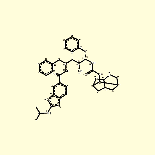 CC(C)Nc1nc2ccc(C(=O)NN(Cc3ccccc3)C[C@H](O)[C@H](Cc3ccccc3)NC(=O)OC3C4COC5OC3CC5C4)cc2o1